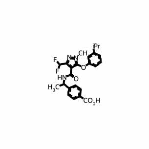 CC(C)c1cccc(Oc2c(C(=O)NC(C)c3ccc(C(=O)O)cc3)c(C(F)F)nn2C)c1